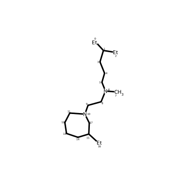 CCC(CC)CCCN(C)CCN1CCCCC(CC)C1